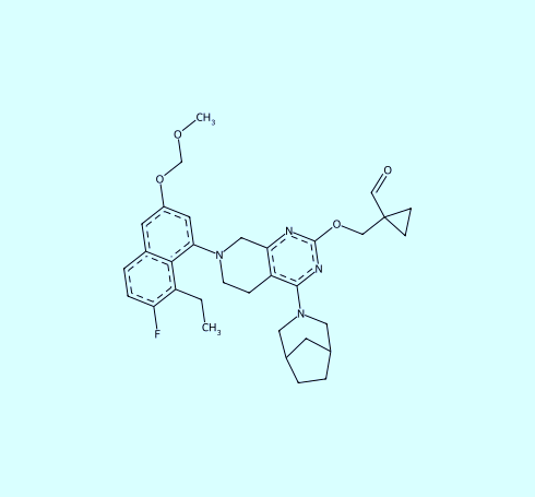 CCc1c(F)ccc2cc(OCOC)cc(N3CCc4c(nc(OCC5(C=O)CC5)nc4N4CC5CCC(C5)C4)C3)c12